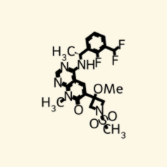 COC1(c2cc3c(N[C@H](C)c4cccc(C(F)F)c4F)ncnc3n(C)c2=O)CN(S(C)(=O)=O)C1